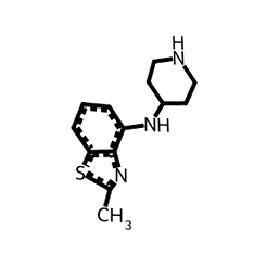 Cc1nc2c(NC3CCNCC3)cccc2s1